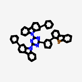 c1ccc(-c2ccc3c4ccccc4n(-c4nc(-c5cccc(-c6cccc7c6sc6ccccc67)c5)nc(-n5c6ccccc6c6ccc(-c7ccccc7)cc65)n4)c3c2)cc1